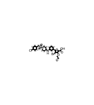 O=CCOc1c(C(=O)O)sc(-c2cccc(NC3CCN(S(=O)(=O)Cc4ccc(Cl)cc4)CC3)c2)c1Br